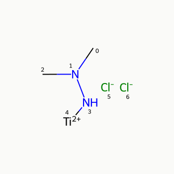 CN(C)[NH][Ti+2].[Cl-].[Cl-]